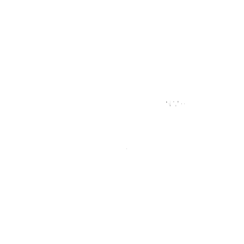 CNC1CCCCCCCCC(C)C1